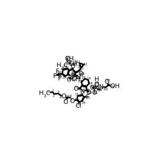 CCCCCOC(=O)COc1cc(N2C(=O)C3=C(CCCC3)C2=O)c(F)cc1Cl.CS(=O)(=O)c1cc(C(F)(F)F)ccc1C(=O)c1cnoc1C1CC1.C[S+](C)C.O=C(O)CNCP(=O)([O-])O